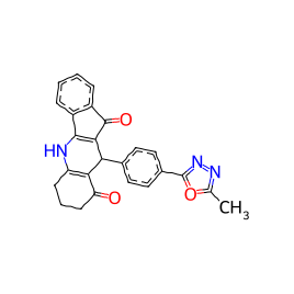 Cc1nnc(-c2ccc(C3C4=C(CCCC4=O)NC4=C3C(=O)c3ccccc34)cc2)o1